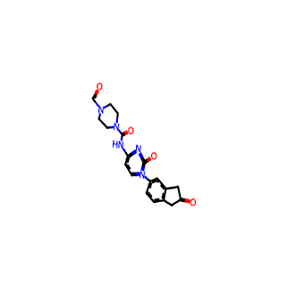 O=CN1CCN(C(=O)Nc2ccn(-c3ccc4c(c3)CC(=O)C4)c(=O)n2)CC1